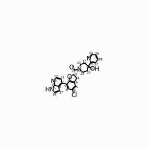 O=C([C@@H]1Cc2cc(Cl)cc(-c3ccnc4[nH]ccc34)c2O1)N1CCC(O)(c2ccccn2)CC1